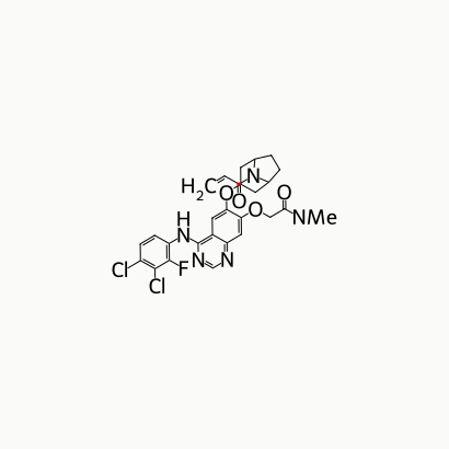 C=CC(=O)N1C2CCC1CC(Oc1cc3c(Nc4ccc(Cl)c(Cl)c4F)ncnc3cc1OCC(=O)NC)C2